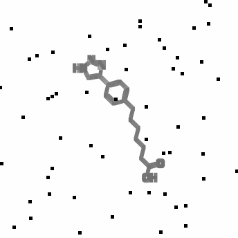 O=C(O)CCCCCCc1ccc(-c2c[nH]nn2)cc1